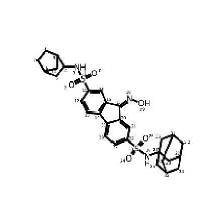 O=S(=O)(NC1CC2CCC1C2)c1ccc2c(c1)/C(=N/O)c1cc(S(=O)(=O)NC34CC5CC(CC(C5)C3)C4)ccc1-2